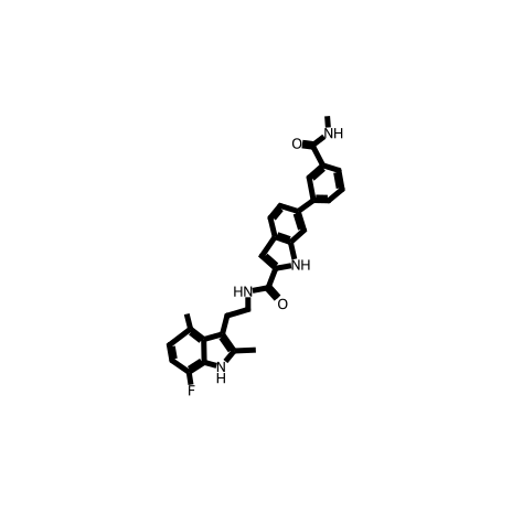 CNC(=O)c1cccc(-c2ccc3cc(C(=O)NCCc4c(C)[nH]c5c(F)ccc(C)c45)[nH]c3c2)c1